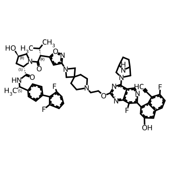 C#Cc1c(F)ccc2cc(O)cc(-c3ncc4c(N5CC6CCC(C5)N6)nc(OCCN5CCC6(CC5)CN(c5cc([C@H](C(=O)N7C[C@H](O)C[C@H]7C(=O)N[C@@H](C)c7ccc(-c8c(F)cccc8F)cc7)C(C)C)on5)C6)nc4c3F)c12